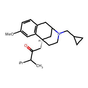 COc1ccc2c(c1)[C@]1(CC(=O)C(C)C(C)C)CCN(CC3CC3)C(C2)C1